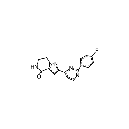 O=C1NCCn2nc(-c3ccnc(-c4ccc(F)cc4)n3)cc21